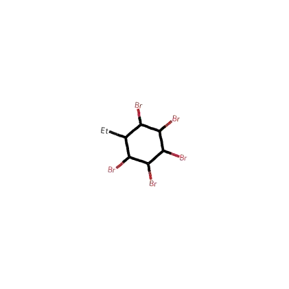 CCC1C(Br)C(Br)C(Br)C(Br)C1Br